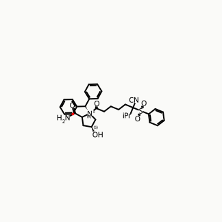 CC(C)C(C#N)(CCCCC(=O)[N@@+]1(C(c2ccccc2)c2ccccc2)C[C@@H](O)CC1C(N)=O)S(=O)(=O)c1ccccc1